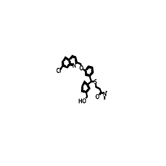 CN(C)C(=O)CCSC(c1cccc(CO)c1)c1cccc(OCc2ccc3ccc(Cl)cc3n2)c1